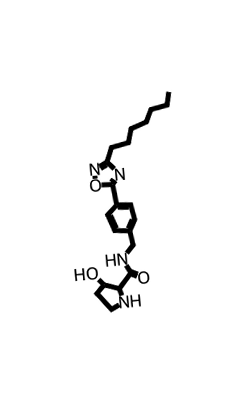 CCCCCCCc1noc(-c2ccc(CNC(=O)C3NCCC3O)cc2)n1